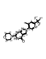 Cc1cc(C(F)(F)F)ncc1-n1cc2c(=O)[nH]c(N3CCOCC3)nc2n1